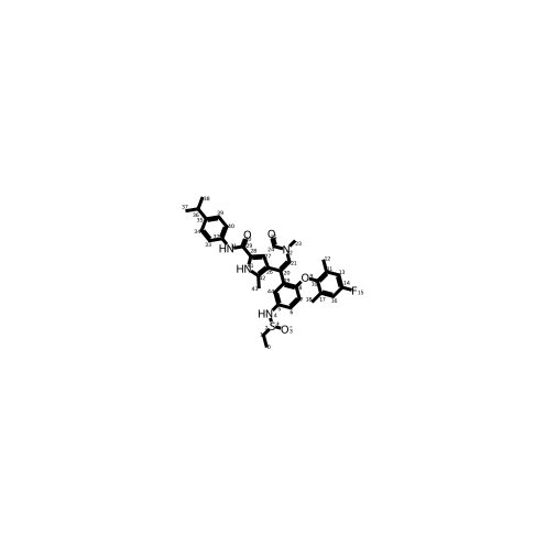 CC[S+]([O-])Nc1ccc(Oc2c(C)cc(F)cc2C)c(/C(=C/N(C)C=O)c2cc(C(=O)Nc3ccc(C(C)C)cc3)[nH]c2C)c1